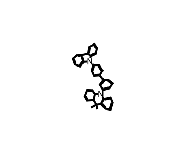 CC1(C)c2ccccc2N(c2cccc(-c3ccc(-n4c5ccccc5c5ccccc54)cc3)c2)C2C=CC=CC21